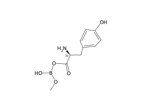 COB(O)OC(=O)[C@@H](N)Cc1ccc(O)cc1